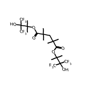 CC(C)(CC(C)(C)C(=O)OC(C)(C)C(O)(C(F)(F)F)C(F)(F)F)C(=O)OC(C)(C)C(O)(C(F)(F)F)C(F)(F)F